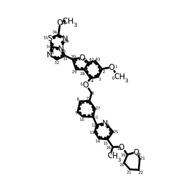 COc1cc(OCc2cccc(-c3ccc(C(C)OC4CCCCO4)cn3)c2)c2cc(-c3cnc4sc(OC)nn34)oc2c1